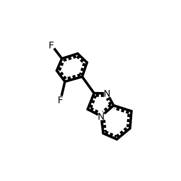 Fc1ccc(-c2cn3ccccc3n2)c(F)c1